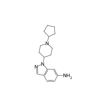 Nc1ccc2cnn(C3CCN(C4CCCC4)CC3)c2c1